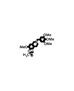 COc1cc2c(cc1OS(C)(=O)=O)CCN(Cc1cc(OC)c(OC)c(OC)c1)C2